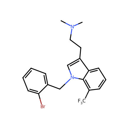 CN(C)CCc1cn(Cc2ccccc2Br)c2c(C(F)(F)F)cccc12